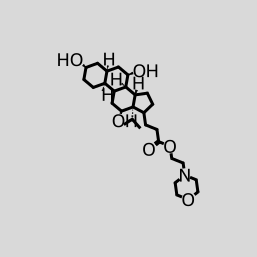 CC(C)[C@@]12C(CCC(=O)OCCN3CCOCC3)CC[C@H]1[C@@H]1[C@H](O)C[C@@H]3C[C@H](O)CC[C@]3(C)[C@H]1C[C@@H]2O